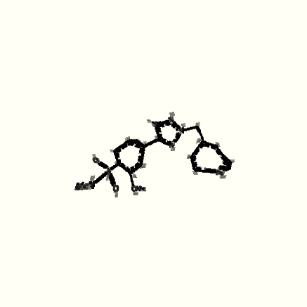 CNS(=O)(=O)c1ccc(-c2nnn(Cc3ccncc3)n2)cc1OC